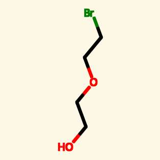 OCCOCCBr